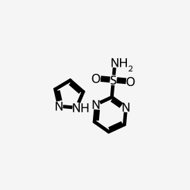 NS(=O)(=O)c1ncccn1.c1cn[nH]c1